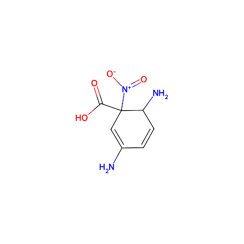 NC1=CC(C(=O)O)([N+](=O)[O-])C(N)C=C1